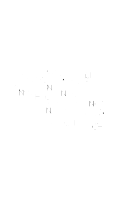 Cc1cnc(C)c(N(c2cc(-n3cnc(C)c3)cc(C(F)(F)F)c2)c2nccc(-c3cccnc3)n2)c1